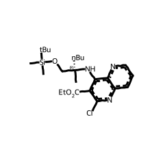 CCCC[C@](C)(CO[Si](C)(C)C(C)(C)C)Nc1c(C(=O)OCC)c(Cl)nc2cccnc12